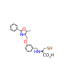 Cc1oc(-c2ccccc2)nc1COc1cccc(CN[C@@H](CS)C(=O)O)c1